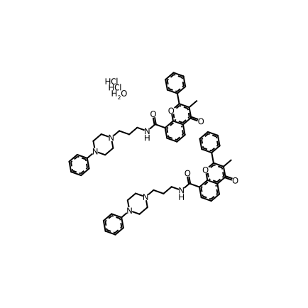 Cc1c(-c2ccccc2)oc2c(C(=O)NCCCN3CCN(c4ccccc4)CC3)cccc2c1=O.Cc1c(-c2ccccc2)oc2c(C(=O)NCCCN3CCN(c4ccccc4)CC3)cccc2c1=O.Cl.Cl.O